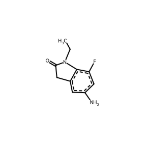 CCN1C(=O)Cc2cc(N)cc(F)c21